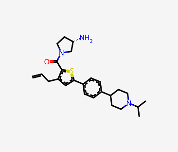 C=CCc1cc(-c2ccc(C3CCN(C(C)C)CC3)cc2)sc1C(=O)N1CC[C@H](N)C1